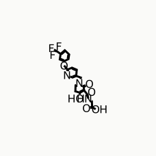 O=C(O)CNC(=O)C1=C(O)CCN(Cc2ccc(Oc3cccc(C(F)(F)F)c3)nc2)C1=O